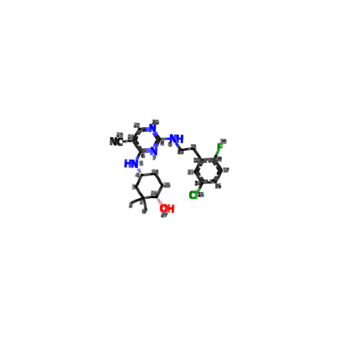 CC1(C)C[C@H](Nc2nc(NCCc3cc(Cl)ccc3F)ncc2C#N)CC[C@@H]1O